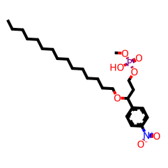 CCCCCCCCCCCCCCCOC(CCOP(=O)(O)OC)c1ccc([N+](=O)[O-])cc1